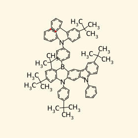 CC(C)(C)c1ccc(N2c3cc4c(cc3B3c5ccc(N(c6ccccc6)c6ccc(C(C)(C)C)cc6-c6ccccc6)cc5C(C)(C)c5cc(C(C)(C)C)cc2c53)c2cc(C(C)(C)C)ccc2n4-c2ccccc2)cc1